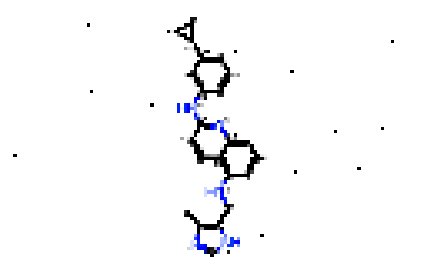 Cc1nc[nH]c1CNc1cccc2nc(Nc3cccc(C4CC4)c3)ccc12